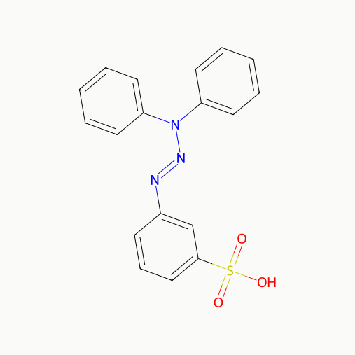 O=S(=O)(O)c1cccc(N=NN(c2ccccc2)c2ccccc2)c1